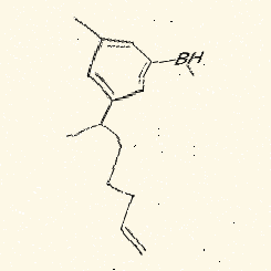 C=CCCCC(C)c1cc(C)cc(BC)c1